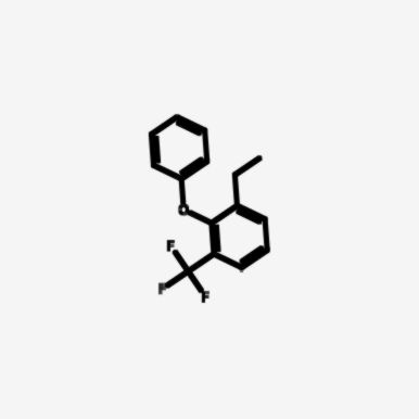 CCc1cc[c]c(C(F)(F)F)c1Oc1ccccc1